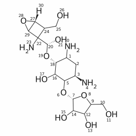 NC1C[C@@H](N)C(O[C@@H]2OC(CO)C(O)C2O)C(O)[C@@H]1O[C@@H](O)C1(N)C(CO)[C@H]2OC21